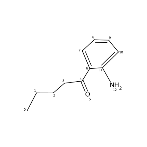 CCCCC(=O)c1ccccc1N